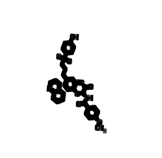 COc1ccc(C(=O)NC(Oc2ccc(CCCS(=O)(=O)c3ccc(O)cc3)cc2)C(=O)O)cc1.c1ccc2ncccc2c1